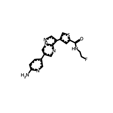 Nc1ccc(-c2cnc3c(-c4csc(C(=O)NCCF)c4)cnn3c2)cn1